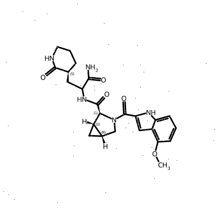 COc1cccc2[nH]c(C(=O)N3C[C@@H]4C[C@@H]4[C@H]3C(=O)NC(C[C@@H]3CCCNC3=O)C(N)=O)cc12